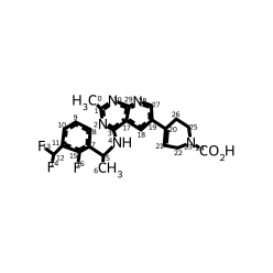 Cc1nc(NC(C)c2cccc(C(F)F)c2F)c2cc(C3=CCN(C(=O)O)CC3)cnc2n1